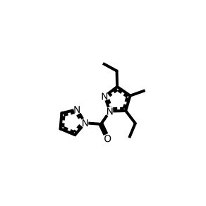 CCc1nn(C(=O)n2cccn2)c(CC)c1C